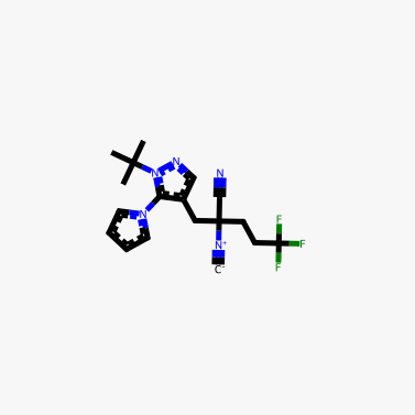 [C-]#[N+]C(C#N)(CCC(F)(F)F)Cc1cnn(C(C)(C)C)c1-n1cccc1